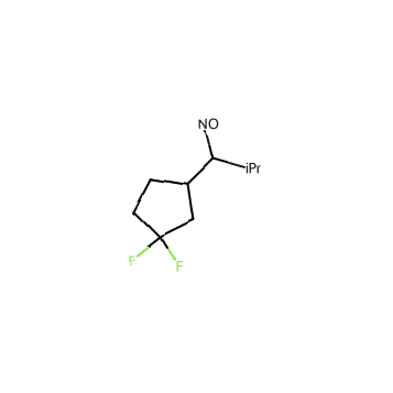 CC(C)C(N=O)C1CCC(F)(F)C1